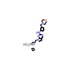 C1CCC1.O=C(O)NCCCn1ccc2cnc(Nc3cccc(CN4CCOCC4)c3)nc21